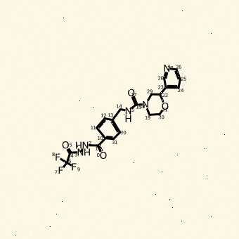 O=C(NNC(=O)C(F)(F)F)c1ccc(CNC(=O)N2CCOC(c3cccnc3)C2)cc1